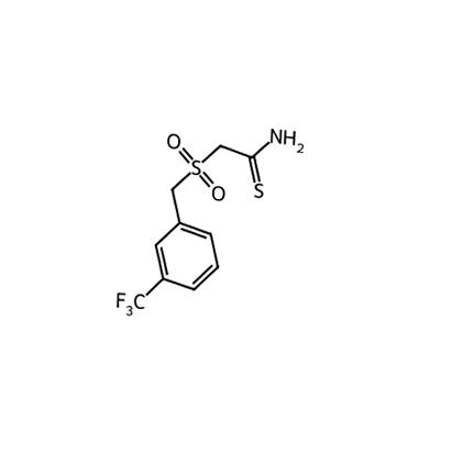 NC(=S)CS(=O)(=O)Cc1cccc(C(F)(F)F)c1